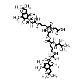 Cc1c(C)c(S(=O)(=O)NC(=N)NCCC[C@H](NC(=O)CNC(=O)[C@H](CCCNC(=N)NS(=O)(=O)c2c(C)c(C)c3c(c2C)CC(C)(C)O3)NC(=O)[C@@H](N)C(C)C)C(=O)NCC(=O)O)c(C)c2c1OC(C)(C)C2